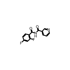 O=C(NC(=O)c1ccc(F)cc1F)c1cccnc1